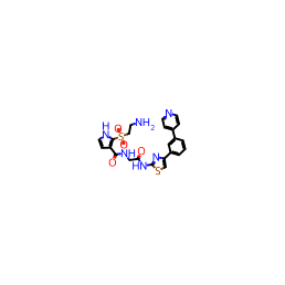 NCCS(=O)(=O)c1[nH]ccc1C(=O)NCC(=O)Nc1nc(-c2cccc(-c3ccncc3)c2)cs1